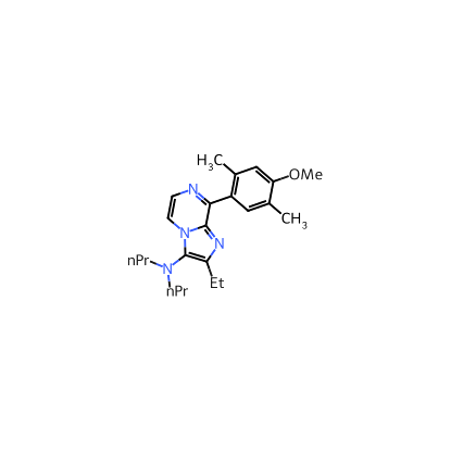 CCCN(CCC)c1c(CC)nc2c(-c3cc(C)c(OC)cc3C)nccn12